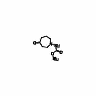 CC(C)(C)OC(=O)NN1CCCC(=O)CC1